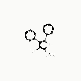 CSc1[nH]c(-c2ccccc2)c(-c2ccccc2)c1C#N